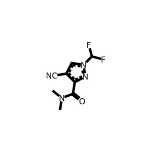 CN(C)C(=O)c1nn(C(F)F)cc1C#N